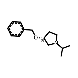 CC(C)N1CC[C@@H](OCc2ccccc2)C1